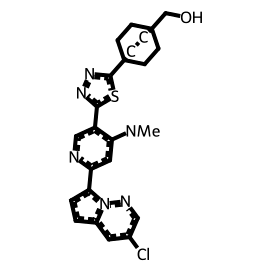 CNc1cc(-c2ccc3cc(Cl)cnn23)ncc1-c1nnc(C23CCC(CO)(CC2)CC3)s1